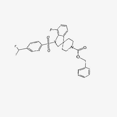 O=C(OCc1ccccc1)N1CCC2(CC1)CN(S(=O)(=O)c1ccc(C(F)F)cc1)c1c(F)cccc12